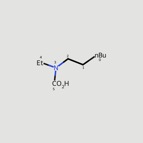 CCCCCCN(CC)C(=O)O